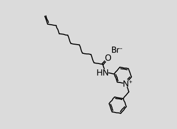 C=CCCCCCCCCC(=O)Nc1ccc[n+](Cc2ccccc2)c1.[Br-]